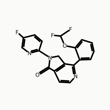 O=C1c2ccnc(-c3ccccc3OC(F)F)c2CN1c1ccc(F)cn1